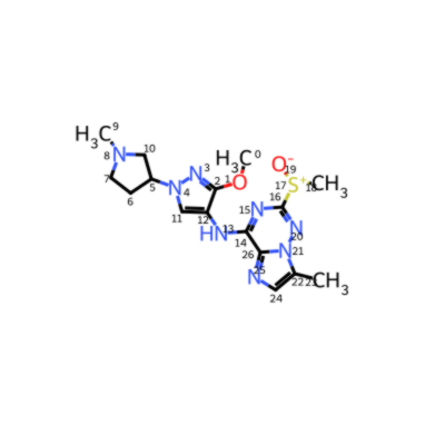 COc1nn(C2CCN(C)C2)cc1Nc1nc([S+](C)[O-])nn2c(C)cnc12